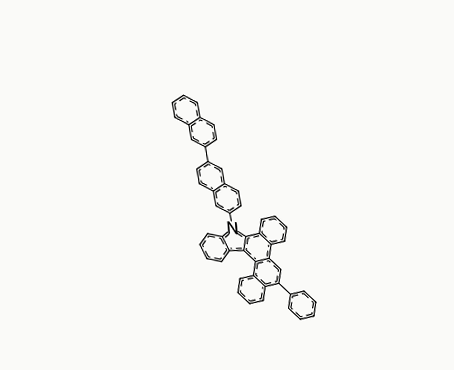 c1ccc(-c2cc3c4ccccc4c4c(c5ccccc5n4-c4ccc5cc(-c6ccc7ccccc7c6)ccc5c4)c3c3ccccc23)cc1